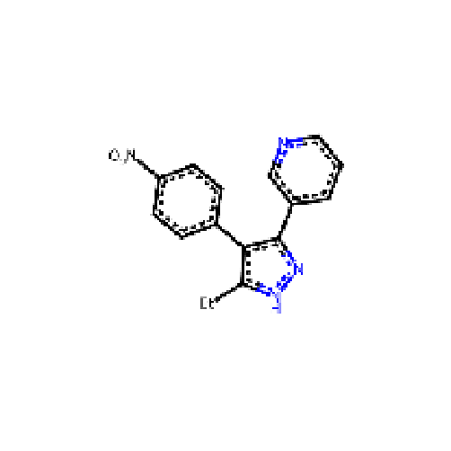 CCc1[nH]nc(-c2cccnc2)c1-c1ccc([N+](=O)[O-])cc1